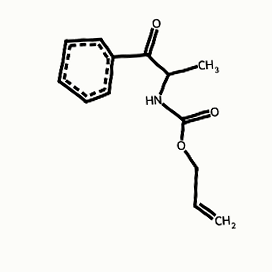 C=CCOC(=O)NC(C)C(=O)c1ccccc1